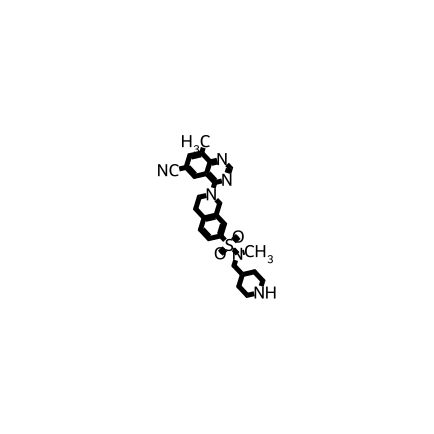 Cc1cc(C#N)cc2c(N3CCc4ccc(S(=O)(=O)N(C)CC5CCNCC5)cc4C3)ncnc12